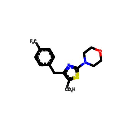 O=C(O)c1sc(N2CCOCC2)nc1Cc1ccc(C(F)(F)F)cc1